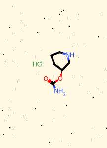 Cl.NC(=O)O[C@H]1CCCNC1